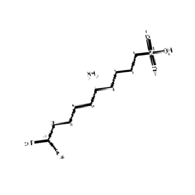 N.O=S(=O)(O)CCCCCCCCCC(F)F